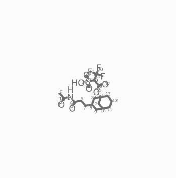 CC(=O)NC(=O)CCC1CC2CCCC(OC(=O)C(C(F)(F)F)S(=O)(=O)O)(C2)C1